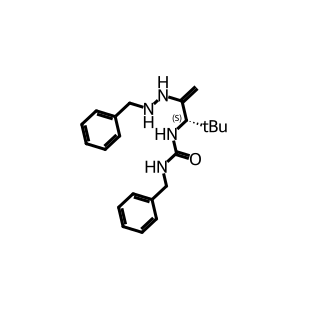 C=C(NNCc1ccccc1)[C@@H](NC(=O)NCc1ccccc1)C(C)(C)C